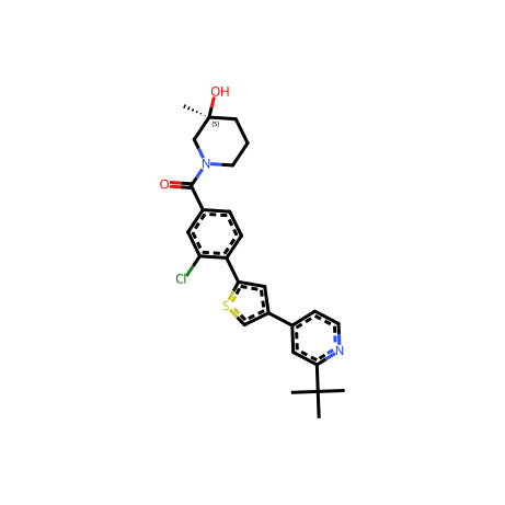 CC(C)(C)c1cc(-c2csc(-c3ccc(C(=O)N4CCC[C@](C)(O)C4)cc3Cl)c2)ccn1